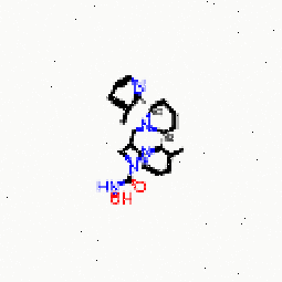 Cc1cccnc1[C@H]1CCC[C@@H](c2ncccc2C)N1CC1CN(C(=O)NO)C1